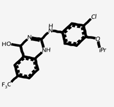 CC(C)Oc1ccc(NC2=NC(O)c3cc(C(F)(F)F)ccc3N2)cc1Cl